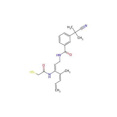 C=C/C=C(C)\C(=C/CNC(=O)c1cccc(C(C)(C)C#N)c1)NC(=O)CS